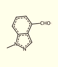 Cn1ncc2c([C]=O)cccc21